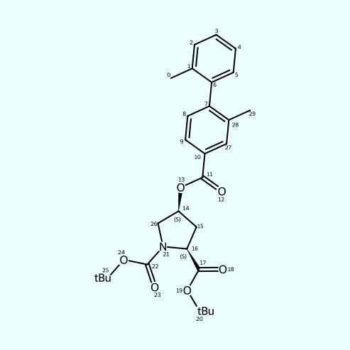 Cc1ccccc1-c1ccc(C(=O)O[C@H]2C[C@@H](C(=O)OC(C)(C)C)N(C(=O)OC(C)(C)C)C2)cc1C